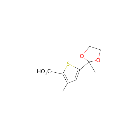 Cc1cc(C2(C)OCCO2)sc1C(=O)O